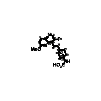 COc1ccc2ncc(F)c(/C=C/C34CCC(NC(=O)O)(CC3)CO4)c2n1